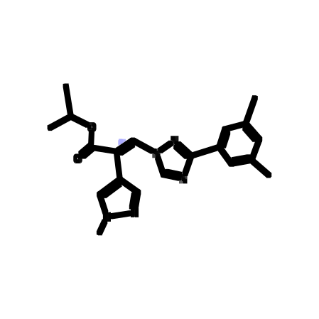 Cc1cc(C)cc(-c2ncn(/C=C(/C(=O)OC(C)C)c3cnn(C)c3)n2)c1